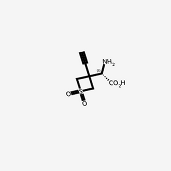 C#CC1([C@H](N)C(=O)O)CS(=O)(=O)C1